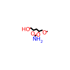 COCC(CCCO)OC(N)=O